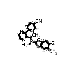 CC(c1nccnc1-c1ccc(C#N)cn1)N(C)c1nc2cc(C(F)(F)F)c(Cl)cc2o1